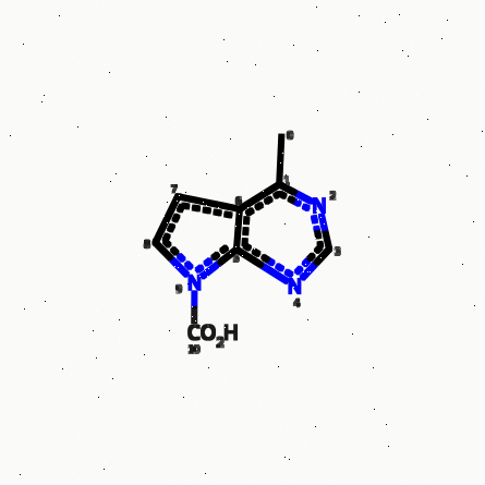 Cc1ncnc2c1ccn2C(=O)O